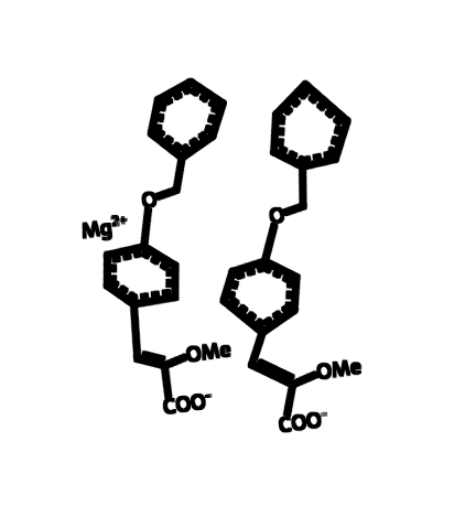 CO/C(=C\c1ccc(OCc2ccccc2)cc1)C(=O)[O-].CO/C(=C\c1ccc(OCc2ccccc2)cc1)C(=O)[O-].[Mg+2]